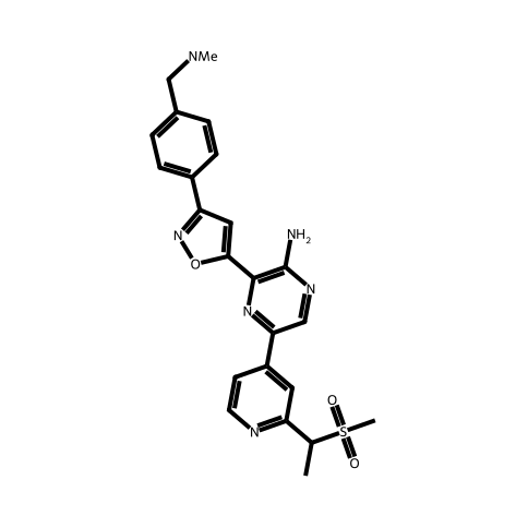 CNCc1ccc(-c2cc(-c3nc(-c4ccnc(C(C)S(C)(=O)=O)c4)cnc3N)on2)cc1